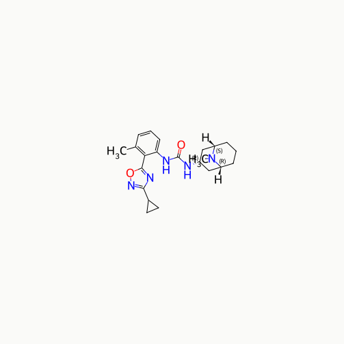 Cc1cccc(NC(=O)N[C@H]2C[C@H]3CCC[C@@H](C2)N3C)c1-c1nc(C2CC2)no1